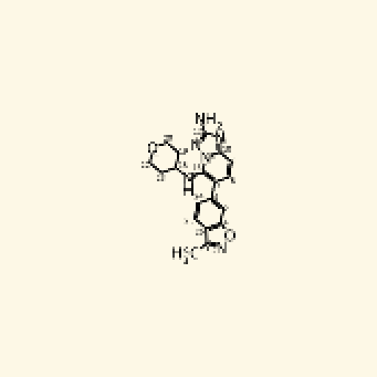 Cc1noc2cc(-c3ccc4nc(N)nn4c3NC3CCOCC3)ccc12